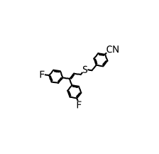 N#Cc1ccc(CSCC=C(c2ccc(F)cc2)c2ccc(F)cc2)cc1